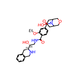 CCOc1cc(C(=O)N2C3COCC2CC(O)C3)ccc1C(=O)NC[C@@H](O)[C@@H]1Cc2ccccc2CN1